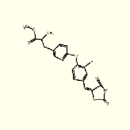 COC(=O)C(N)Cc1ccc(Oc2ccc(/C=C3/SC(=O)NC3=O)cc2F)cc1